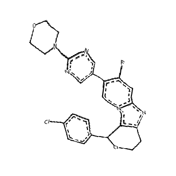 Fc1cc2nc3c(n2cc1-c1cnc(N2CCOCC2)nc1)C(c1ccc(Cl)cc1)OCC3